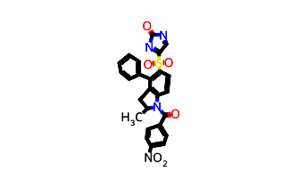 CC1Cc2c(ccc(S(=O)(=O)C3=NC(=O)N=C3)c2-c2ccccc2)N1C(=O)c1ccc([N+](=O)[O-])cc1